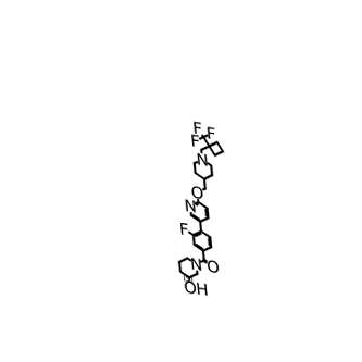 O=C(c1ccc(-c2ccc(OCC3CCN(CC4(C(F)(F)F)CCC4)CC3)nc2)c(F)c1)N1CCC[C@H](O)C1